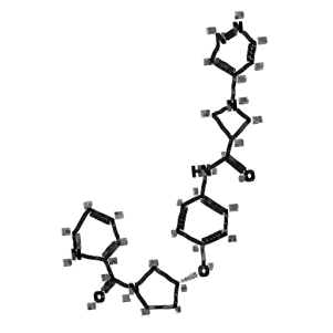 O=C(Nc1ccc(O[C@@H]2CCN(C(=O)c3ccccn3)C2)cc1)C1CN(c2ccnnc2)C1